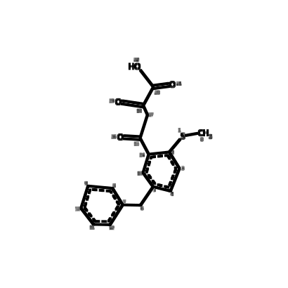 CSc1ccc(Cc2ccccc2)cc1C(=O)CC(=O)C(=O)O